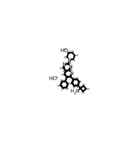 Cl.NC1(c2ccc(-c3nc4nc(N5CCCC(O)C5)ncc4cc3-c3ccccc3)cc2)CCC1